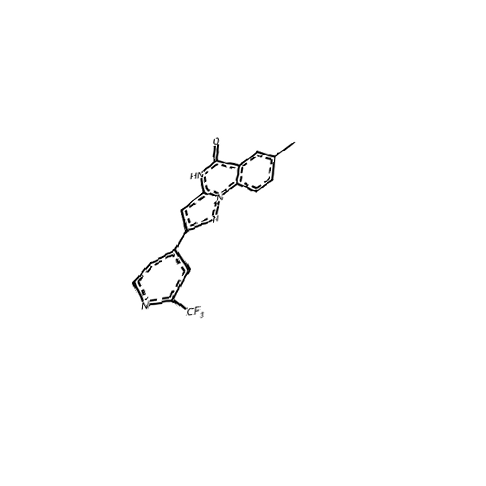 Cc1ccc2c(c1)c(=O)[nH]c1cc(-c3ccnc(C(F)(F)F)c3)nn12